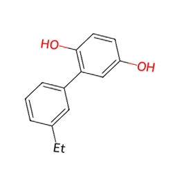 CCc1cccc(-c2cc(O)ccc2O)c1